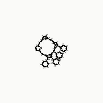 C1=Cc2cc3sc(c(-c4ccccc4)c4nc(cc5ccc(cc1n2)[nH]5)C=C4c1ccccc1)c(-c1ccccc1)c3-c1ccccc1